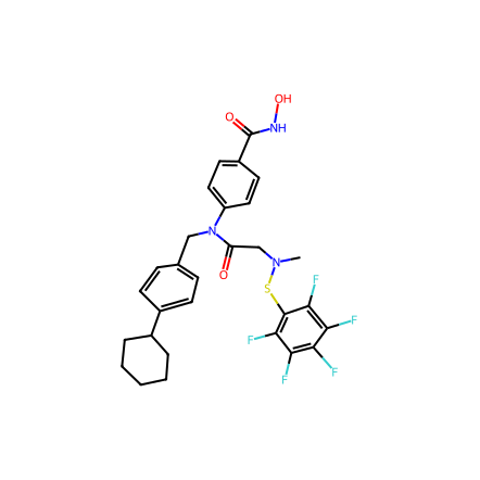 CN(CC(=O)N(Cc1ccc(C2CCCCC2)cc1)c1ccc(C(=O)NO)cc1)Sc1c(F)c(F)c(F)c(F)c1F